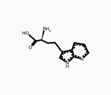 N[C@@H](CCc1c[nH]c2ncccc12)C(=O)O